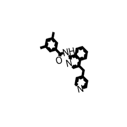 Cc1cc(C)cc(C(=O)Nc2ncc(Cc3ccncc3)c3ccccc23)c1